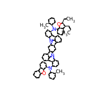 C=Cc1oc2c(N(c3ccccc3C)c3cccc4c3c3cccc5c6cc7c(cc6n4c53)c3cccc4c5c(N(c6ccccc6C)c6cccc8c6oc6ccccc68)cccc5n7c34)cccc2c1/C=C\C